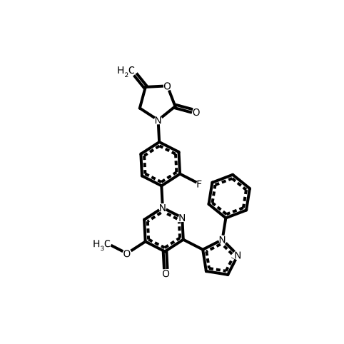 C=C1CN(c2ccc(-n3cc(OC)c(=O)c(-c4ccnn4-c4ccccc4)n3)c(F)c2)C(=O)O1